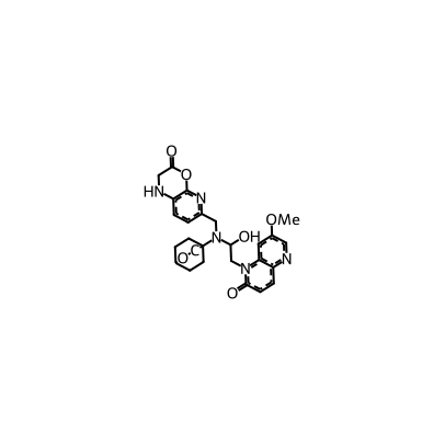 COc1cnc2ccc(=O)n(CC(O)N(Cc3ccc4c(n3)OC(=O)CN4)C34CCC(CC3)OC4)c2c1